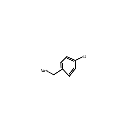 [CH2]Cc1ccc(CNC)cc1